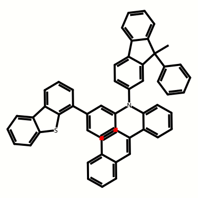 CC1(c2ccccc2)c2ccccc2-c2ccc(N(C3=CC(c4cccc5c4sc4ccccc45)=CCC3)c3ccccc3-c3c#cc4ccccc4c3)cc21